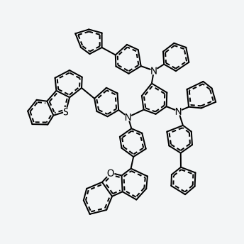 c1ccc(-c2ccc(N(c3ccccc3)c3cc(N(c4ccccc4)c4ccc(-c5ccccc5)cc4)cc(N(c4ccc(-c5cccc6c5oc5ccccc56)cc4)c4ccc(-c5cccc6c5sc5ccccc56)cc4)c3)cc2)cc1